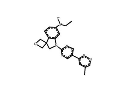 CC[S+]([O-])c1ccc2c(c1)N(c1ncc(-c3cc(C)cnn3)cn1)CC21COC1